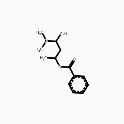 CCCCC(CC(C)OC(=O)c1ccccc1)N(C)C